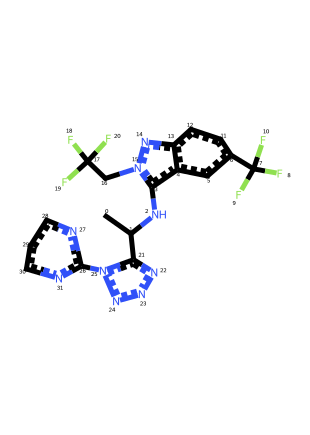 CC(Nc1c2cc(C(F)(F)F)ccc2nn1CC(F)(F)F)c1nnnn1-c1ncccn1